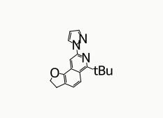 CC(C)(C)c1nc(-n2cccn2)cc2c3c(ccc12)CCO3